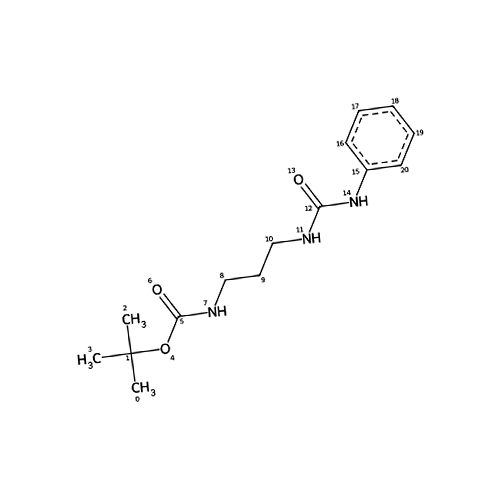 CC(C)(C)OC(=O)NCCCNC(=O)Nc1ccccc1